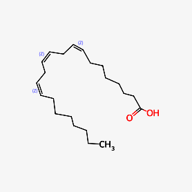 CCCCCCC/C=C\C/C=C\C/C=C\CCCCCCC(=O)O